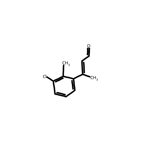 CC(=CC=O)c1cccc(Cl)c1C